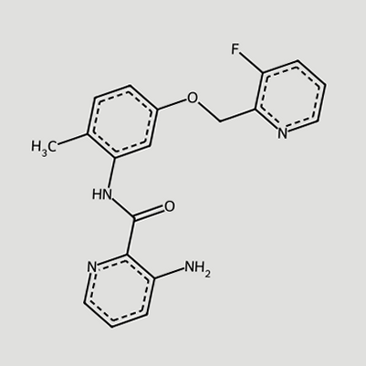 Cc1ccc(OCc2ncccc2F)cc1NC(=O)c1ncccc1N